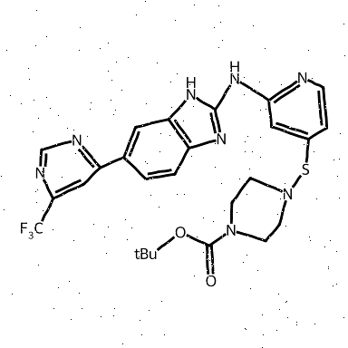 CC(C)(C)OC(=O)N1CCN(Sc2ccnc(Nc3nc4ccc(-c5cc(C(F)(F)F)ncn5)cc4[nH]3)c2)CC1